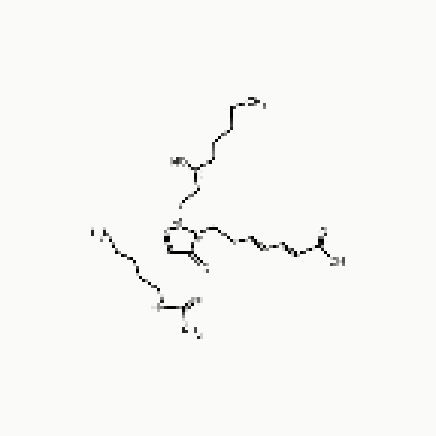 CCCCC[C@H](O)CC[C@H]1C=CC(=O)[C@@H]1CCC=CC=CC(=O)O.N=C(N)NCCCCN